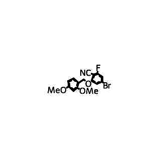 COc1ccc(COc2cc(Br)cc(F)c2C#N)c(OC)c1